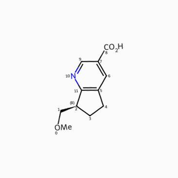 COC[C@@H]1CCc2cc(C(=O)O)cnc21